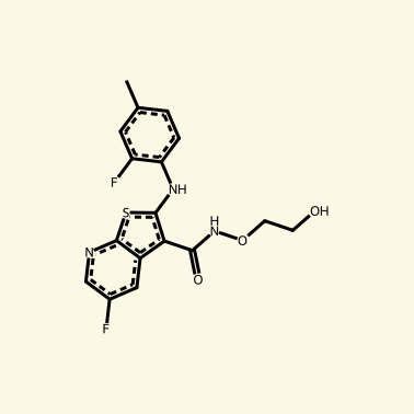 Cc1ccc(Nc2sc3ncc(F)cc3c2C(=O)NOCCO)c(F)c1